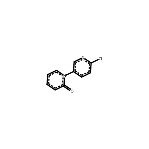 O=c1ccccn1-c1ccc(Cl)nc1